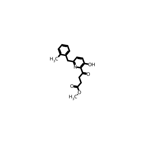 COC(=O)CCC(=O)c1nc(Cc2ccccc2C)ccc1O